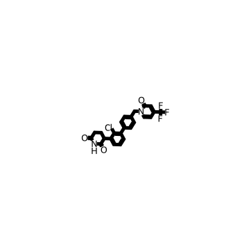 O=C1CCC(c2cccc(-c3ccc(Cn4ccc(C(F)(F)F)cc4=O)cc3)c2Cl)C(=O)N1